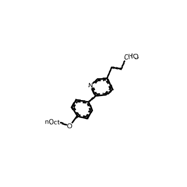 CCCCCCCCOc1ccc(-c2ccc(CCC=O)cn2)cc1